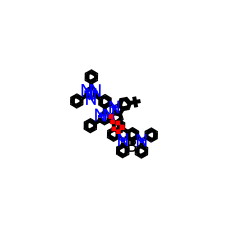 CC(C)(C)c1ccc2c(c1)c1cc(C(C)(C)C)ccc1n2-c1ccc(-c2nc(-c3ccccc3)nc(-c3ccccc3)n2)cc1-c1nc(-c2ccccc2)cc(-c2ccc(-c3ccc4c5c3N(c3ccccc3)c3ccccc3B5c3ccccc3N4c3ccccc3)cc2)n1